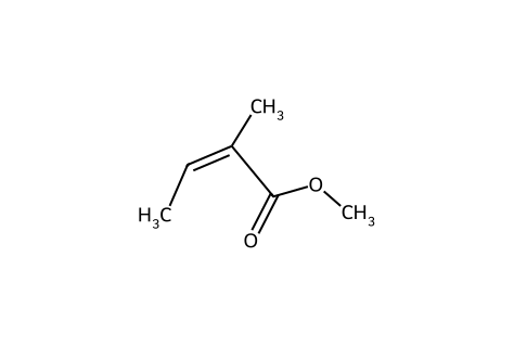 CC=C(C)C(=O)OC